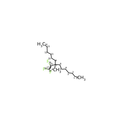 CCCCCCCC(C)(CCCCCC)C(F)=C(F)F